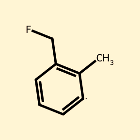 Cc1[c]cccc1CF